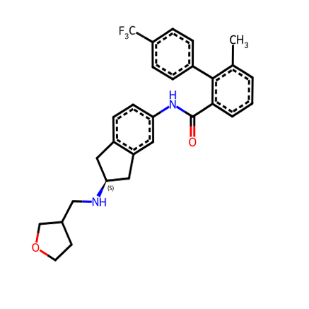 Cc1cccc(C(=O)Nc2ccc3c(c2)C[C@@H](NCC2CCOC2)C3)c1-c1ccc(C(F)(F)F)cc1